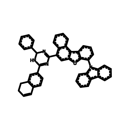 C1=Cc2ccc(C3=NC(c4cc5oc6c(-n7c8ccccc8c8ccccc87)cccc6c5c5ccccc45)=NC(c4ccccc4)N3)cc2CC1